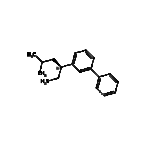 CC(C)C[C@H](CN)c1cccc(-c2ccccc2)c1